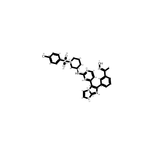 CC(=NO)c1cccc(-c2nc3sccn3c2-c2ccnc(N[C@@H]3CCCN(S(=O)(=O)c4ccc(Cl)cc4)C3)n2)c1